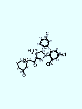 C[C@H]1C(C(=O)NN2CCCC(=O)C2)=NN(c2ccc(Cl)cc2Cl)[C@H]1c1ccc(Cl)cc1